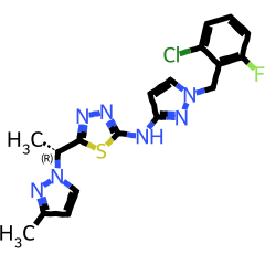 Cc1ccn([C@H](C)c2nnc(Nc3ccn(Cc4c(F)cccc4Cl)n3)s2)n1